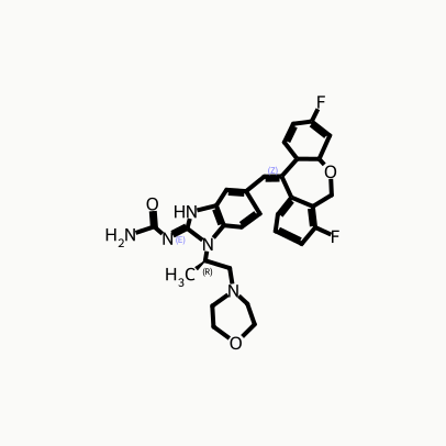 C[C@H](CN1CCOCC1)n1/c(=N/C(N)=O)[nH]c2cc(/C=C3\c4cccc(F)c4COC4C=C(F)C=CC34)ccc21